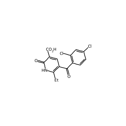 CCc1[nH]c(=O)c(C(=O)O)cc1C(=O)c1ccc(Cl)cc1Cl